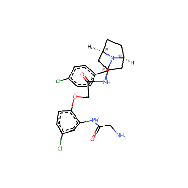 NCC(=O)Nc1cc(Cl)ccc1OCC(=O)N[C@H]1C[C@H]2CC[C@@H](C1)N2Cc1ccc(Cl)cc1